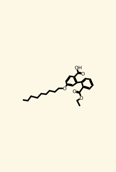 CCCCCCCCCOc1ccc(C(=O)O)c(-c2ccccc2C(=O)OCC)c1